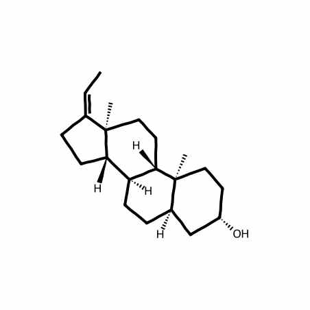 C/C=C1/CC[C@H]2[C@@H]3CC[C@@H]4C[C@@H](O)CC[C@]4(C)[C@H]3CC[C@]12C